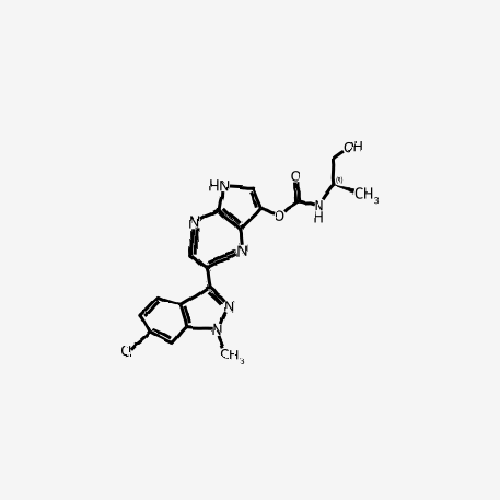 C[C@H](CO)NC(=O)Oc1c[nH]c2ncc(-c3nn(C)c4cc(Cl)ccc34)nc12